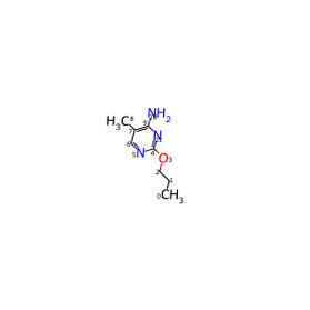 CCCOc1ncc(C)c(N)n1